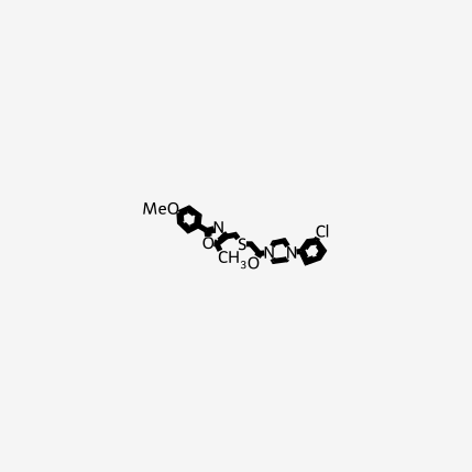 COc1ccc(-c2nc(CSCC(=O)N3CCN(c4cccc(Cl)c4)CC3)c(C)o2)cc1